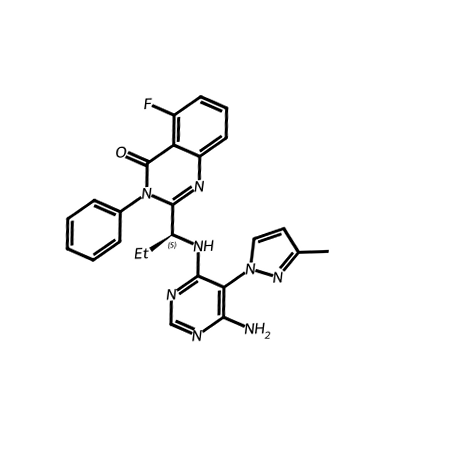 CC[C@H](Nc1ncnc(N)c1-n1ccc(C)n1)c1nc2cccc(F)c2c(=O)n1-c1ccccc1